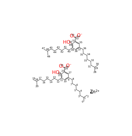 CC(C)CCCCCCc1cc(CCCCCCC(C)C)c(O)c(C(=O)[O-])c1.CC(C)CCCCCCc1cc(CCCCCCC(C)C)c(O)c(C(=O)[O-])c1.[Zn+2]